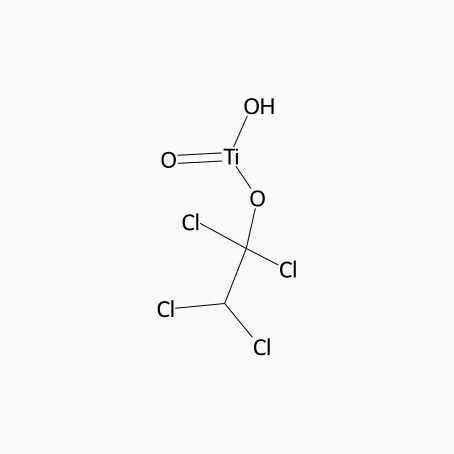 [O]=[Ti]([OH])[O]C(Cl)(Cl)C(Cl)Cl